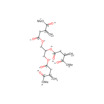 C=C(CC(=O)OCC(COC(=O)CC(=C)C(=O)OC)OC(=O)CC(=C)C(=O)OC)C(=O)OC